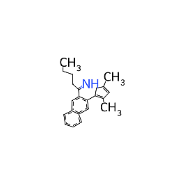 CCCCC(=N)c1cc2ccccc2cc1C1=C(C)C=C(C)C1